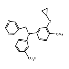 COc1ccc(N(Cc2cncnc2)c2cccc(C(=O)O)c2)cc1OC1CC1